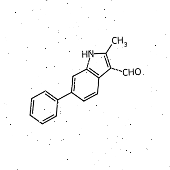 Cc1[nH]c2cc(-c3ccccc3)ccc2c1C=O